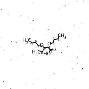 CCCCO[C@H](C(=O)O)[C@@H](CC)OCCCC